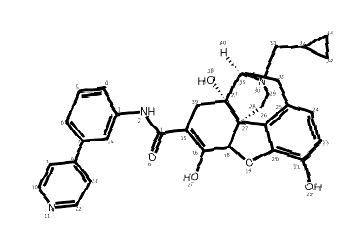 O=C(Nc1cccc(-c2ccncc2)c1)C1=C(O)C2Oc3c(O)ccc4c3[C@@]23CCN(CC2CC2)[C@H](C4)[C@]3(O)C1